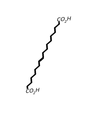 O=C(O)CCCCCCC=CCCCCCCCCC(=O)O